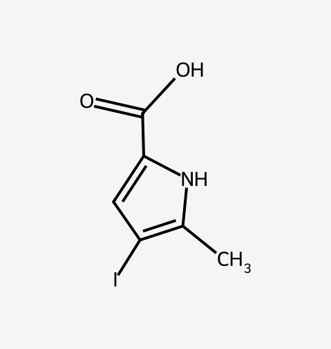 Cc1[nH]c(C(=O)O)cc1I